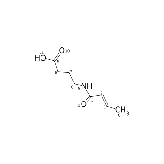 CC=CC(=O)NCCCC(=O)O